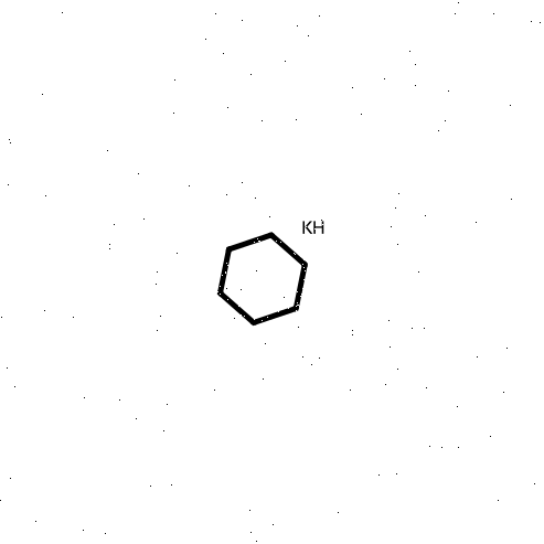 C1CCCCC1.[KH]